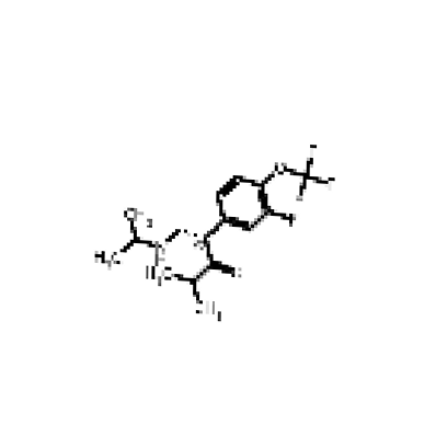 CC(C)NC[C@@H](C(=O)C(C)C)c1ccc(OC(F)(F)F)c(F)c1